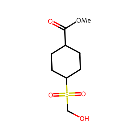 COC(=O)C1CCC(S(=O)(=O)CO)CC1